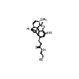 CC(=O)O[C@H]1C=CC2[C@@H]3CCC[C@@]24c2c(c(CCC(=O)NCCS)cc(O)c2O[C@@H]14)C3